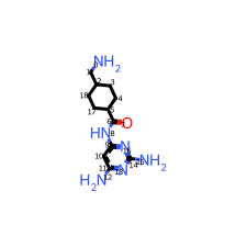 NCC1CCC(C(=O)Nc2cc(N)nc(N)n2)CC1